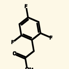 COC(=O)Cc1c(F)cc(F)cc1F